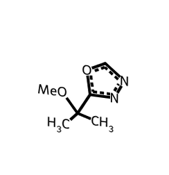 COC(C)(C)c1nnco1